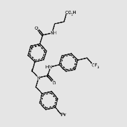 CC(C)c1ccc(CN(Cc2ccc(C(=O)NCCC(=O)O)cc2)C(=O)Nc2ccc(CC(F)(F)F)cc2)cc1